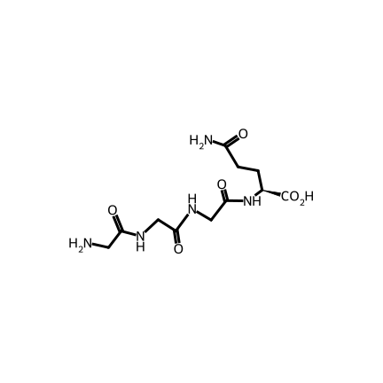 NCC(=O)NCC(=O)NCC(=O)N[C@@H](CCC(N)=O)C(=O)O